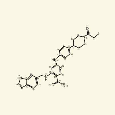 CCC(=O)N1CCC(c2ccc(Nc3cc(NCc4ccc5cc[nH]c5c4)c(C(N)=O)cn3)cc2)CC1